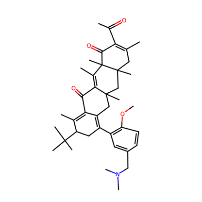 COc1ccc(CN(C)C)cc1C1=C2CC3(C)CC4(C)CC(C)=C(C(C)=O)C(=O)C4(C)C(C)=C3C(=O)C2=C(C)C(C(C)(C)C)C1